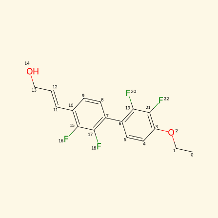 CCOc1ccc(-c2ccc(C=CCO)c(F)c2F)c(F)c1F